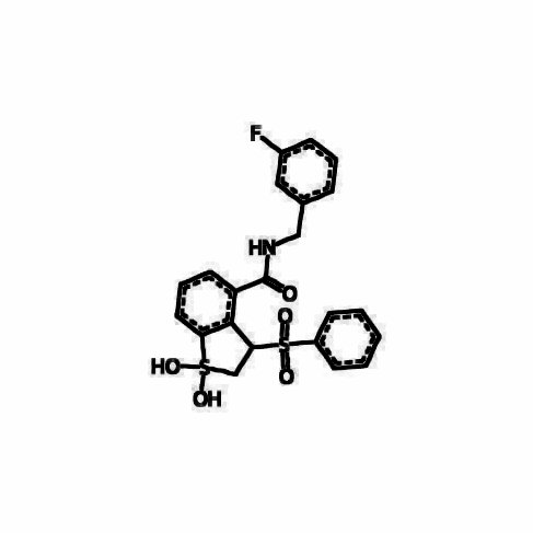 O=C(NCc1cccc(F)c1)c1cccc2c1C(S(=O)(=O)c1ccccc1)CS2(O)O